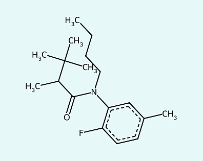 CCCCN(C(=O)C(C)C(C)(C)C)c1cc(C)ccc1F